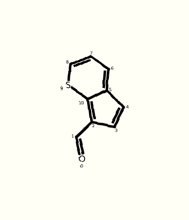 O=Cc1ccc2cccsc1-2